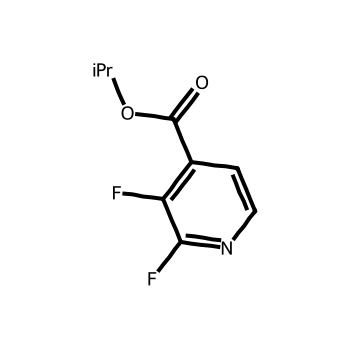 CC(C)OC(=O)c1ccnc(F)c1F